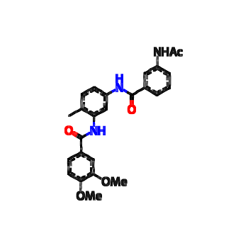 COc1ccc(C(=O)Nc2cc(NC(=O)c3cccc(NC(C)=O)c3)ccc2C)cc1OC